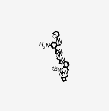 CC(C)(C)OC(=O)N(Cc1ccc2nc(Cn3cc(-c4cc(N)cc5c4cnn5C4CCCCO4)nn3)cn2c1)CC1CCC1